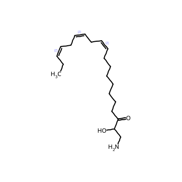 CC/C=C\C/C=C\C/C=C\CCCCCCCC(=O)C(O)CN